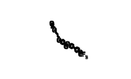 CC1(COCCCCCOc2ccc(C(=O)Oc3ccc(-c4ccc(OC(F)(F)F)cc4)cc3)cc2)COC1